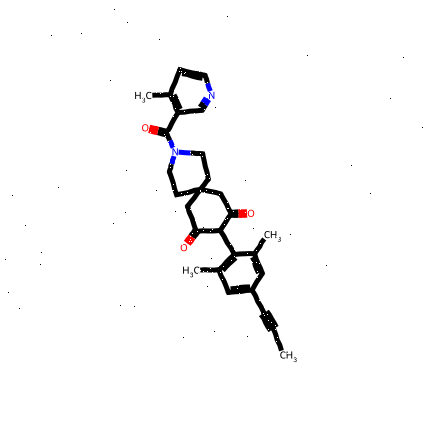 CC#Cc1cc(C)c(C2C(=O)CC3(CCN(C(=O)c4cnccc4C)CC3)CC2=O)c(C)c1